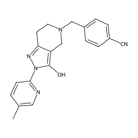 Cc1ccc(-n2nc3c(c2O)CN(Cc2ccc(C#N)cc2)CC3)nc1